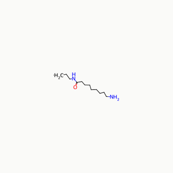 [CH2]CCNC(=O)CCCCCCCCN